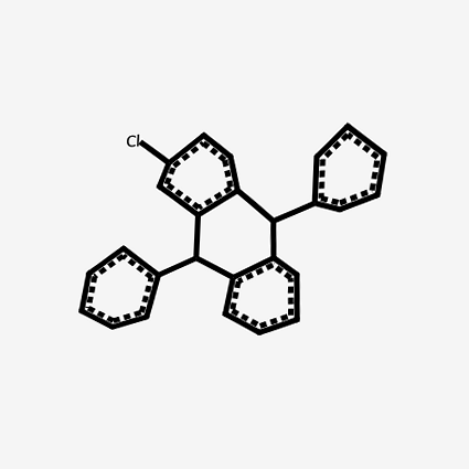 Clc1ccc2c(c1)C(c1ccccc1)c1ccccc1C2c1ccccc1